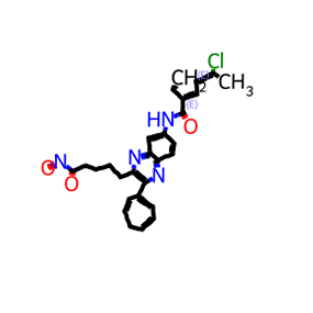 C=C/C(=C\C=C(/C)Cl)C(=O)Nc1ccc2nc(C3=CC=CCC=C3)c(CCCCC(=O)N=O)nc2c1